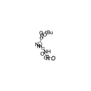 CC(C)(C)OC(=O)N1CC([C@@H]2CN=NN([C@H]3C[C@H](NC(=O)c4cc(-c5ccccc5)no4)C3)C2)C1